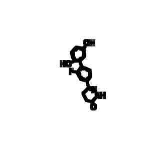 O=C1CCC(c2ccc(-c3cc(O)ccc3O)c(F)c2)=NN1